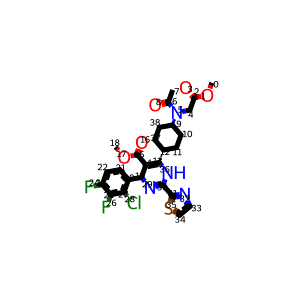 COC(=O)CN(C(C)=O)[C@H]1CC[C@H](C2=C(C(=O)OC)C(c3ccc(F)c(F)c3Cl)N=C(c3nccs3)N2)CC1